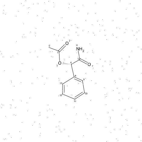 CC(=O)O[C@H](C(N)=O)c1ccccc1